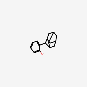 [O]c1ccccc1C1C2CC3CC(C2)CC1C3